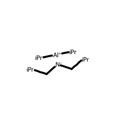 CC(C)C[N-]CC(C)C.C[CH](C)[Al+][CH](C)C